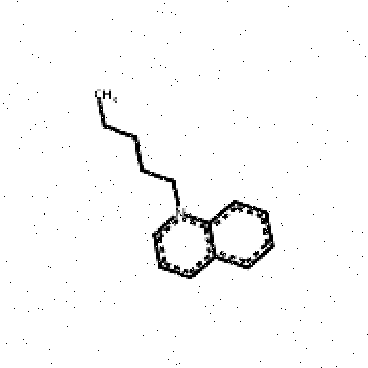 CCCCC[n+]1cccc2ccccc21